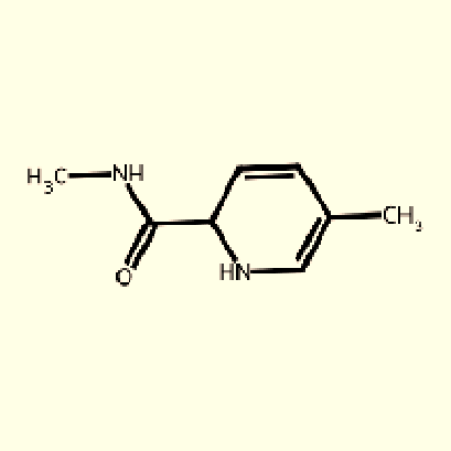 CNC(=O)C1C=CC(C)=CN1